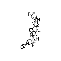 CNc1nc(N[C@H]2CCN(C3COC3)CC2(F)F)nn2ccc(-c3ccc4nc(C)n(CC(F)F)c4n3)c12